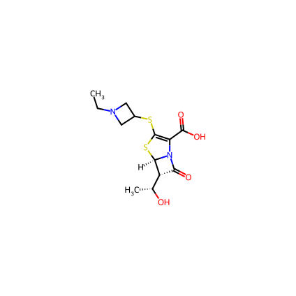 CCN1CC(SC2=C(C(=O)O)N3C(=O)[C@H]([C@@H](C)O)[C@H]3S2)C1